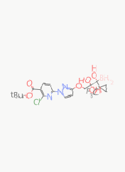 BC(O)(C(O)(O)COc1ccn(-c2ccc(C(=O)OC(C)(C)C)c(Cl)n2)n1)C1(C(F)(F)F)CC1